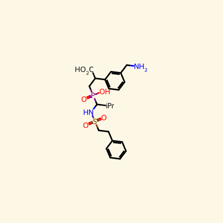 CC(C)C(NS(=O)(=O)CCc1ccccc1)P(=O)(O)CC(C(=O)O)c1cccc(CN)c1